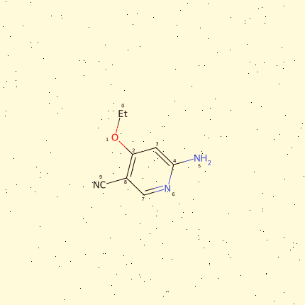 CCOc1cc(N)ncc1C#N